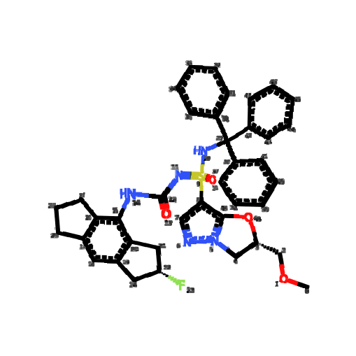 COC[C@@H]1Cn2ncc(S(=O)(=NC(=O)Nc3c4c(cc5c3C[C@H](F)C5)CCC4)NC(c3ccccc3)(c3ccccc3)c3ccccc3)c2O1